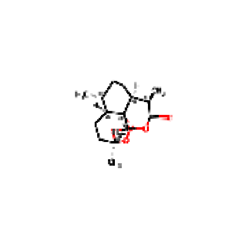 C[C@@H]1CC[C@H]2[C@@H](C)C(=O)O[C@]3(C)O[C@]4(C)CC[C@@H]1[C@@]23OO4